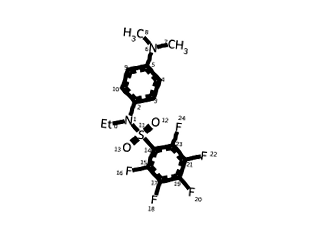 CCN(c1ccc(N(C)C)cc1)S(=O)(=O)c1c(F)c(F)c(F)c(F)c1F